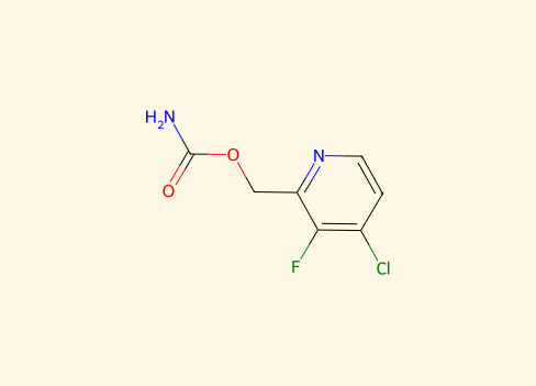 NC(=O)OCc1nccc(Cl)c1F